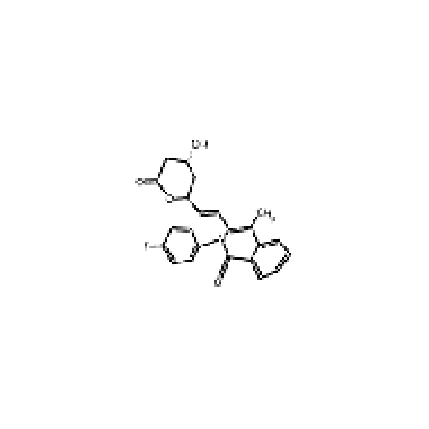 Cc1c(/C=C/[C@@H]2C[C@@H](O)CC(=O)O2)n(-c2ccc(F)cc2)c(=O)c2ccccc12